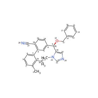 Cc1cccc(-c2cc([C@@H](OCc3ccccc3)c3cncn3C)ccc2C#N)c1C